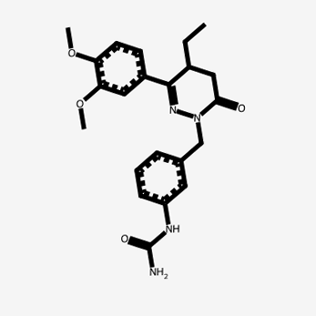 CCC1CC(=O)N(Cc2cccc(NC(N)=O)c2)N=C1c1ccc(OC)c(OC)c1